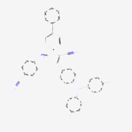 Cc1ccc(N(c2ccc(C)cc2)c2ccc(/C=C(\C#N)C3(/C=N/c4ccc(C#N)cc4)C=CC(c4ccccc4)=CC3)cc2)cc1